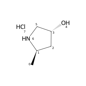 C[C@@H]1C[C@@H](O)CN1.Cl